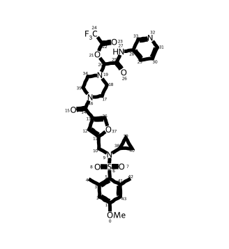 COc1cc(C)c(S(=O)(=O)N(Cc2cc(C(=O)N3CCN(C(OC(=O)C(F)(F)F)C(=O)Nc4cccnc4)CC3)co2)C2CC2)c(C)c1